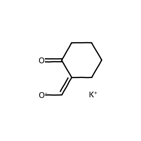 O=C1CCCC/C1=C/[O-].[K+]